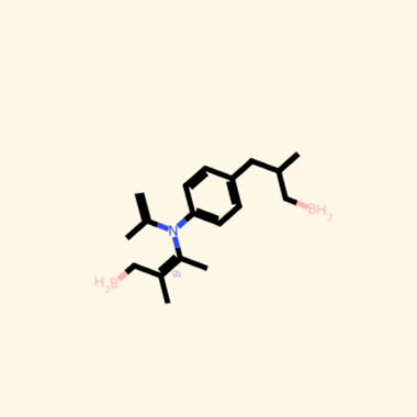 BC/C(C)=C(/C)N(C(=C)C)c1ccc(CC(C)CB)cc1